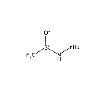 CCCCN[S+]([O-])C(F)(F)F